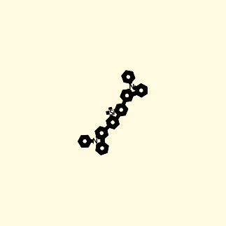 C[Si]1(C)c2cc(-c3ccc4c(c3)c3ccccc3n4-c3ccccc3)ccc2-c2ccc(-c3ccc4c(c3)c3ccccc3n4-c3ccccc3)cc21